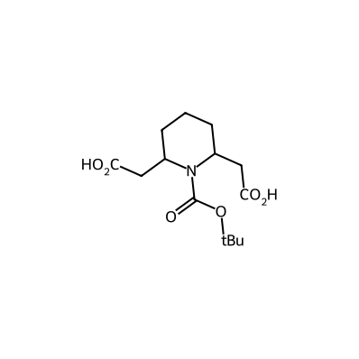 CC(C)(C)OC(=O)N1C(CC(=O)O)CCCC1CC(=O)O